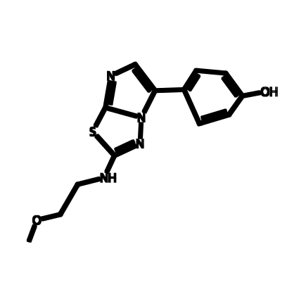 COCCNc1nn2c(-c3ccc(O)cc3)cnc2s1